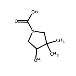 CC1(C)CN(C(=O)O)CC1O